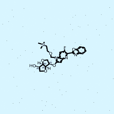 C[Si](C)(C)CCOCn1c(O[C@@H]2CO[C@H]3[C@@H]2OC[C@H]3O)cc2nc(-c3nc4ccccc4o3)c(F)cc21